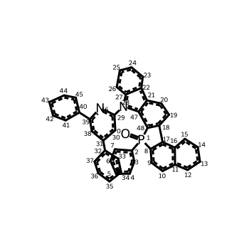 O=P1(c2ccccc2)c2ccc3ccccc3c2-c2ccc3c4ccccc4n(-c4cc(-c5ccccc5)cc(-c5ccccc5)n4)c3c21